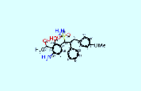 COc1ccc(CC(c2ccccc2)C(c2ccc(N)c(C(C)O)c2O)S(N)(=O)=O)cc1